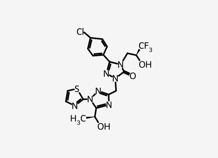 C[C@H](O)c1nc(Cn2nc(-c3ccc(Cl)cc3)n(C[C@H](O)C(F)(F)F)c2=O)nn1-c1nccs1